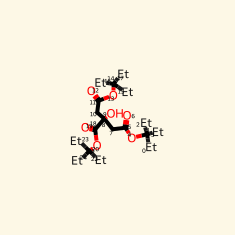 CCC(CC)(CC)OC(=O)CC(O)(CC(=O)OC(CC)(CC)CC)C(=O)OC(CC)(CC)CC